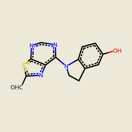 O=Cc1nc2c(N3CCc4cc(O)ccc43)ncnc2s1